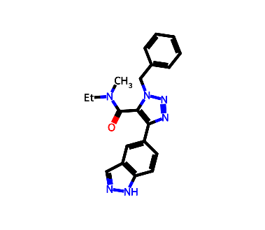 CCN(C)C(=O)c1c(-c2ccc3[nH]ncc3c2)nnn1Cc1ccccc1